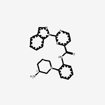 N[C@H]1CCCN(c2ccccc2NC(=O)c2ccnc(-n3ncc4ccccc43)n2)C1